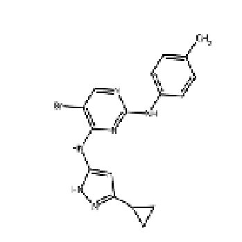 Cc1ccc(Nc2ncc(Br)c(Nc3cc(C4CC4)n[nH]3)n2)cc1